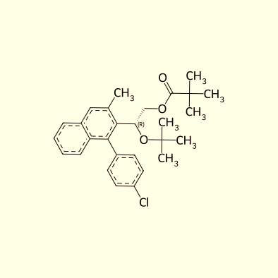 Cc1cc2ccccc2c(-c2ccc(Cl)cc2)c1[C@H](COC(=O)C(C)(C)C)OC(C)(C)C